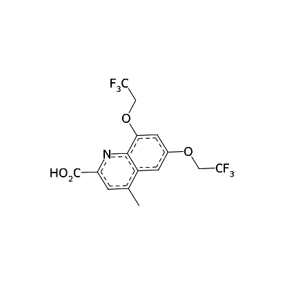 Cc1cc(C(=O)O)nc2c(OCC(F)(F)F)cc(OCC(F)(F)F)cc12